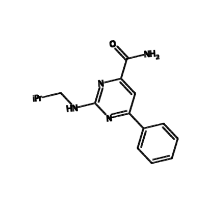 CC(C)CNc1nc(C(N)=O)cc(-c2ccccc2)n1